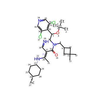 CC[Si](CC)(CC)OC(CN(CC1CC(C)(C)C1)C(=O)/C(C=N)=C(\C)N[C@H]1CC[C@H](C(C)=O)CC1)c1c(Cl)cncc1Cl